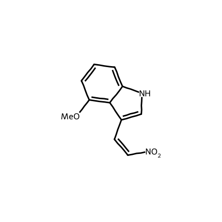 COc1cccc2[nH]cc(/C=C\[N+](=O)[O-])c12